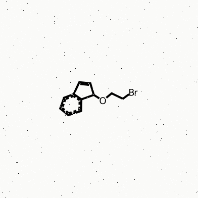 BrCCOC1C=Cc2cc[c]cc21